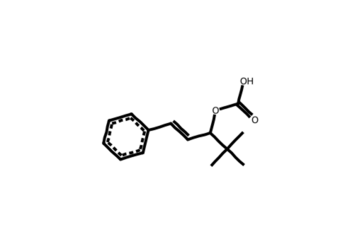 CC(C)(C)C(C=Cc1ccccc1)OC(=O)O